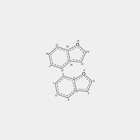 c1ccc2occc2c1.c1ccc2occc2c1